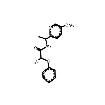 COc1ccc(C(C)NC(=O)C(Oc2ccccc2)C(F)(F)F)nc1